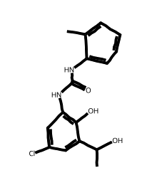 Cc1ccccc1NC(=O)Nc1cc(Cl)cc(C(C)O)c1O